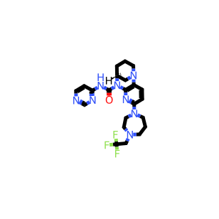 O=C(Nc1ccncn1)N1c2nc(N3CCCN(CC(F)(F)F)CC3)ccc2N2CCC[C@H]1C2